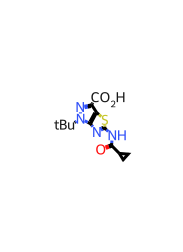 CC(C)(C)n1nc(C(=O)O)c2sc(NC(=O)C3CC3)nc21